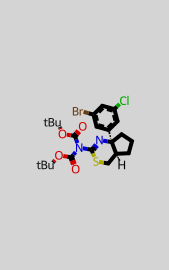 CC(C)(C)OC(=O)N(C(=O)OC(C)(C)C)C1=N[C@@]2(c3cc(Cl)cc(Br)c3)CCC[C@H]2CS1